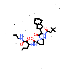 C=CCNC(=O)C(=O)C(CCC)NC(=O)[C@@H]1CCCN1C(=O)[C@@H](NC(=O)CC(C)(C)C)C1Cc2ccccc2C1